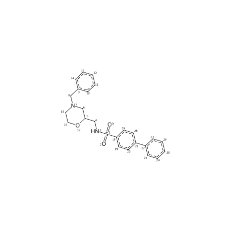 O=S(=O)(NCC1CN(Cc2ccccc2)CCO1)c1ccc(-c2ccccc2)cc1